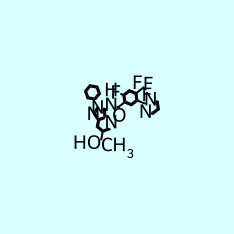 CC(O)c1cnc2c(NC(=O)c3cc(-c4ncccn4)c(C(F)(F)F)cc3F)n(-c3ccccc3)nc2c1